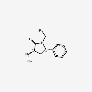 CC(C)CN1C(=O)[C@H](NC(C)(C)C)C[C@H]1c1ccccc1